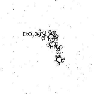 CCOC(=O)O[C@@H](C)OC(=O)[C@@H]1N2C(=O)[C@H](CNC(=O)OCc3ccccc3)[C@H]2S(=O)(=O)C1(C)C